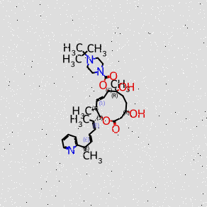 C/C(=C\C=C\[C@@H](C)c1ccccn1)[C@H]1OC(=O)C[C@H](O)CC[C@@](C)(O)[C@@H](OC(=O)N2CCN(C(C)(C)C)CC2)/C=C/[C@@H]1C